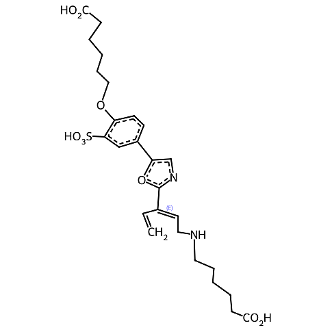 C=C/C(=C\CNCCCCCC(=O)O)c1ncc(-c2ccc(OCCCCCC(=O)O)c(S(=O)(=O)O)c2)o1